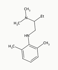 CCC(CNc1c(C)cccc1C)N(C)C